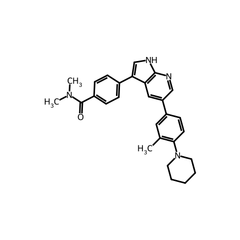 Cc1cc(-c2cnc3[nH]cc(-c4ccc(C(=O)N(C)C)cc4)c3c2)ccc1N1CCCCC1